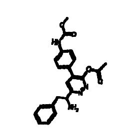 COC(=O)Nc1ccc(-c2cc(C(N)Cc3ccccc3)nnc2OC(C)=O)cc1